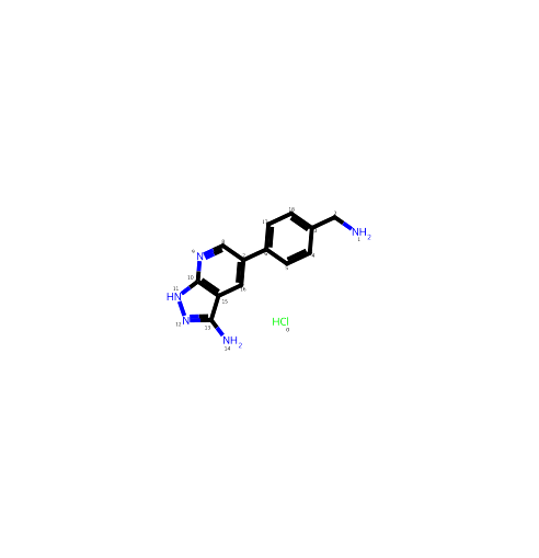 Cl.NCc1ccc(-c2cnc3[nH]nc(N)c3c2)cc1